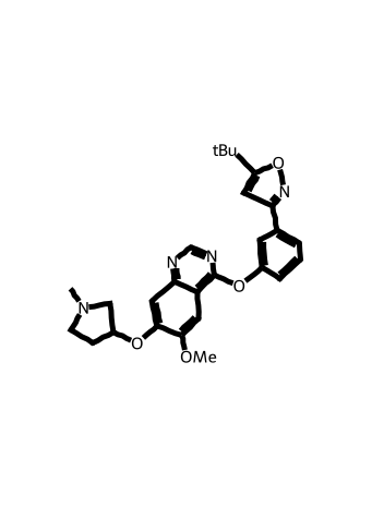 COc1cc2c(Oc3cccc(-c4cc(C(C)(C)C)on4)c3)ncnc2cc1OC1CCN(C)C1